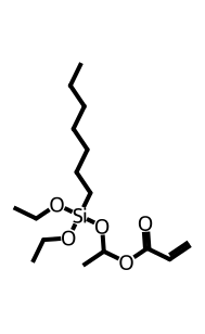 C=CC(=O)OC(C)O[Si](CCCCCCC)(OCC)OCC